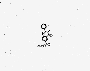 COC(=O)c1ccc2c(c1)C(=O)C(C)C(c1ccccc1)=N2